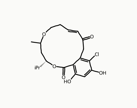 CC1C[C@@H](C(C)C)OC(=O)c2c(O)cc(O)c(Cl)c2CC(=O)/C=C/CCO1